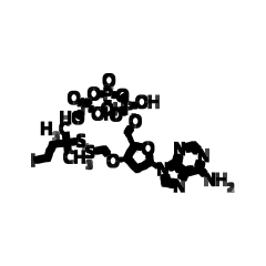 CC(C)(CCI)SSCO[C@@H]1C[C@H](n2cnc3c(N)ncnc32)O[C@@H]1COP(=O)(O)OP(=O)(O)OP(=O)(O)O